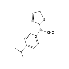 CN(C)c1ccc(N(C=O)C2N=CCS2)cc1